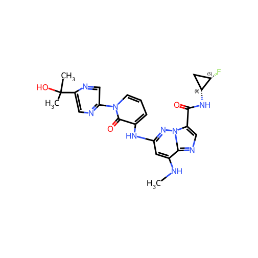 CNc1cc(Nc2cccn(-c3cnc(C(C)(C)O)cn3)c2=O)nn2c(C(=O)N[C@@H]3C[C@@H]3F)cnc12